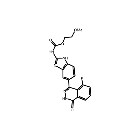 COCCOC(=O)Nc1nc2cc(-c3n[nH]c(=O)c4cccc(F)c34)ccc2[nH]1